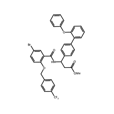 COC(=O)CC(NC(=O)c1cc(Br)ccc1OCc1ccc(C(F)(F)F)cc1)c1ccc(-c2ccccc2Oc2ccccc2)cc1